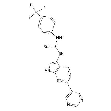 O=C(Nc1ccc(C(F)(F)F)cc1)Nc1c[nH]c2nc(-c3cncnc3)ccc12